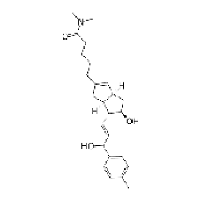 Cc1ccc([C@@H](O)/C=C/[C@@H]2[C@H]3CC(CCCCC(=O)N(C)C)=C[C@H]3C[C@H]2O)cc1